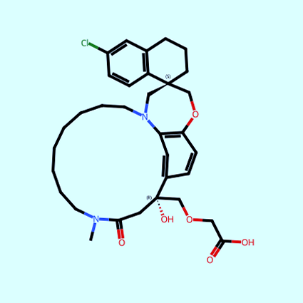 CN1CCCCCCCCN2C[C@@]3(CCCc4cc(Cl)ccc43)COc3ccc(cc32)[C@@](O)(COCC(=O)O)CC1=O